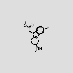 CNC1CCc2c(CC(=O)OC)c3ccc(F)cc3n2C1